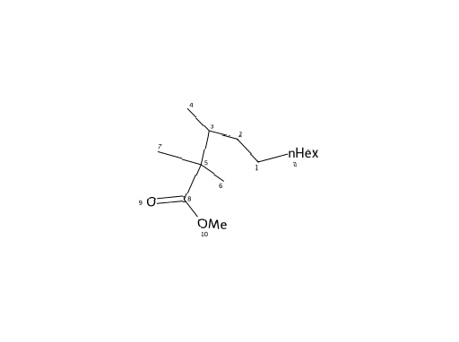 CCCCCCCCC(C)C(C)(C)C(=O)OC